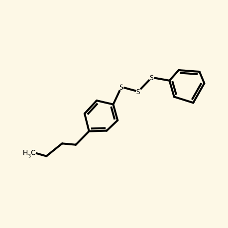 CCCCc1ccc(SSSc2ccccc2)cc1